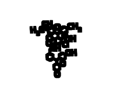 C=c1ccc2c(c1)Oc1cc(N(C)C)ccc1C=2c1c(Cl)c(C(=O)NCc2cccc(-c3c4ccc(=O)cc-4oc4cc(O)ccc34)c2)cc(Cl)c1C(=O)O